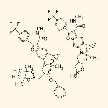 CNC(=O)c1c(-c2ccc(C(F)(F)F)cc2)oc2cc(N(CC(COCc3ccccc3)CB3OC(C)(C)C(C)(C)O3)S(C)(=O)=O)c(C3CC3)cc12.CNC(=O)c1c(-c2ccc(C(F)(F)F)cc2)oc2cc(N(CC3COB(O)C3)S(C)(=O)=O)c(C3CC3)cc12